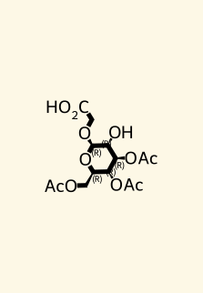 CC(=O)OC[C@H]1O[C@@H](OCC(=O)O)[C@H](O)[C@@H](OC(C)=O)[C@@H]1OC(C)=O